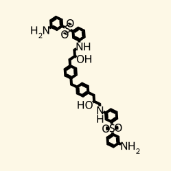 Nc1cccc(S(=O)(=O)c2cccc(NCC(O)Cc3ccc(Cc4ccc(CC(O)CNc5cccc(S(=O)(=O)c6cccc(N)c6)c5)cc4)cc3)c2)c1